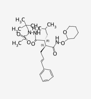 CC(C)C[C@@H](C(=O)NN(C(C)(C)C)S(C)(=O)=O)[C@H](CC=Cc1ccccc1)C(=O)NOC1CCCCO1